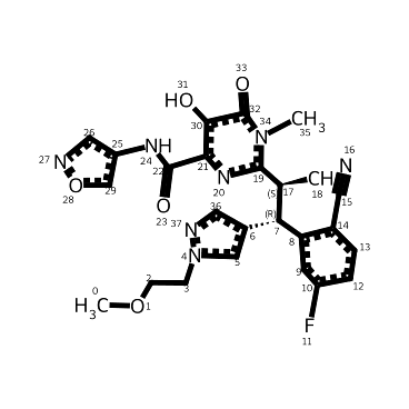 COCCn1cc([C@@H](c2cc(F)ccc2C#N)[C@H](C)c2nc(C(=O)Nc3cnoc3)c(O)c(=O)n2C)cn1